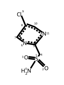 NS(=O)(=O)Cc1ncc(Cl)cn1